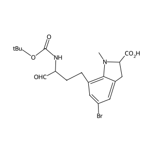 CN1c2c(CCC(C=O)NC(=O)OC(C)(C)C)cc(Br)cc2CC1C(=O)O